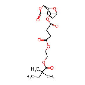 CCC(C)(C)C(=O)OCCOC(=O)CCC(=O)OC1C2CC3C(=O)OC1C3O2